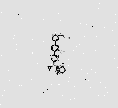 COc1cc(-c2ccc(-c3ncc(N(C4CC4)[C@H]4C[C@@H]5CC[C@@H](N5)[C@H]4F)nn3)c(O)c2)cnn1